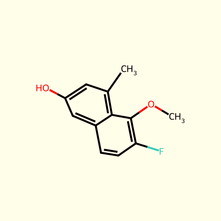 COc1c(F)ccc2cc(O)cc(C)c12